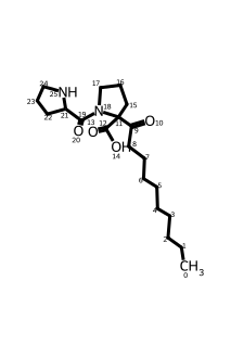 CCCCCCCCCC(=O)C1(C(=O)O)CCCN1C(=O)C1CCCN1